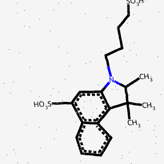 CC1N(CCCCS(=O)(=O)O)c2cc(S(=O)(=O)O)c3ccccc3c2C1(C)C